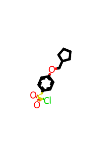 O=S(=O)(Cl)c1ccc(OCC2CCCC2)cc1